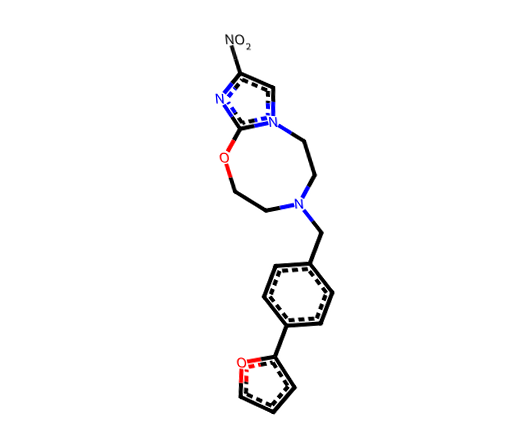 O=[N+]([O-])c1cn2c(n1)OCCN(Cc1ccc(-c3ccco3)cc1)CC2